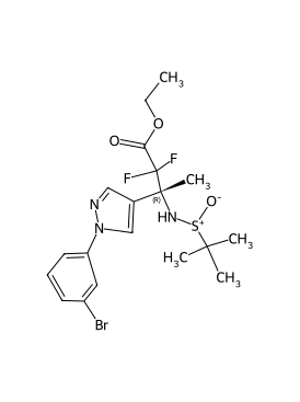 CCOC(=O)C(F)(F)[C@](C)(N[S+]([O-])C(C)(C)C)c1cnn(-c2cccc(Br)c2)c1